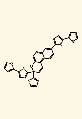 C1=CC(c2cccs2)(c2ccc(-c3cccs3)s2)Oc2ccc3cc(-c4ccc(-c5cccs5)s4)ccc3c21